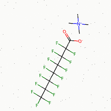 C[N+](C)(C)C.O=C([O-])C(F)(F)C(F)(F)C(F)(F)C(F)(F)C(F)(F)C(F)(F)C(F)(F)F